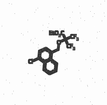 CCOC(=O)C(OCc1ccc(Cl)c2ccccc12)(C(F)(F)F)C(F)(F)F